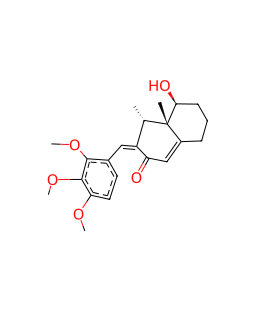 COc1ccc(C=C2C(=O)C=C3CCC[C@H](O)[C@@]3(C)[C@H]2C)c(OC)c1OC